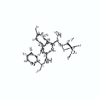 COC1(C)CN(C(O)c2nc(NC(C)c3ccccn3)nc3cc(C)sc23)C1